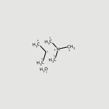 CCC.CN(C)C.O